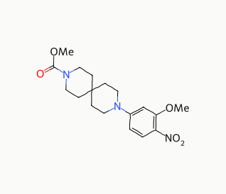 COC(=O)N1CCC2(CC1)CCN(c1ccc([N+](=O)[O-])c(OC)c1)CC2